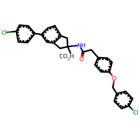 O=C(Cc1ccc(OCc2ccc(Cl)cc2)cc1)NC1(C(=O)O)Cc2ccc(-c3ccc(Cl)cc3)cc2C1